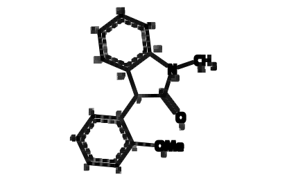 COc1ccccc1C1C(=O)N(C)c2ccccc21